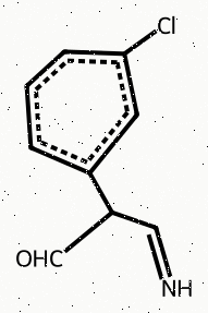 N=CC(C=O)c1cccc(Cl)c1